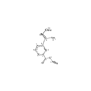 CC(C)(C)OC(=O)c1cccc(C(N)=NO)n1